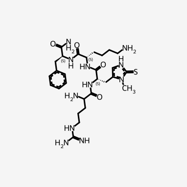 Cn1c(C[C@H](NC(=O)C(N)CCCNC(=N)N)C(=O)N[C@@H](CCCCN)C(=O)N[C@@H](Cc2ccccc2)C(N)=O)c[nH]c1=S